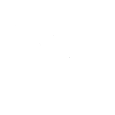 c1ccc(-c2ccc(-c3nc(-c4cccc5c4oc4cc6ccccc6cc45)nc(-c4cccc5sc6ccccc6c45)n3)cc2)cc1